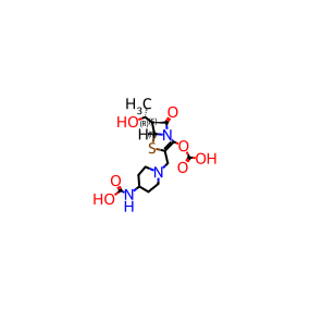 C[C@@H](O)[C@H]1C(=O)N2C(OC(=O)O)=C(CN3CCC(NC(=O)O)CC3)S[C@H]12